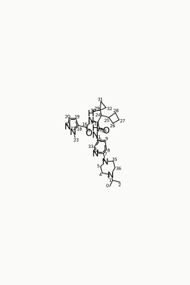 CC(C)N1CCN(c2ccc(NC(=O)[C@@H](NC(=O)c3ccnn3C)C(C3CCC3)C3(C)CC3)cn2)CC1